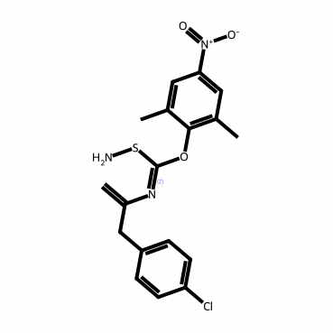 C=C(Cc1ccc(Cl)cc1)/N=C(/Oc1c(C)cc([N+](=O)[O-])cc1C)SN